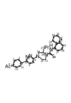 CC(=O)c1ccc(-c2ccc(N3CCN(C(=S)Nc4cccc5ncccc45)C(C(C)C)C3)nn2)cc1